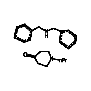 CCCN1CCC(=O)CC1.c1ccc(CNCc2ccccc2)cc1